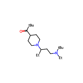 CCC(CCN(CC)C(C)(C)C)N1CCC(C(=O)C(C)(C)C)CC1